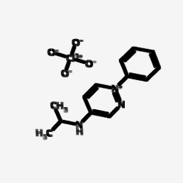 CC(C)Nc1cc[n+](-c2ccccc2)nc1.[O-][Cl+3]([O-])([O-])[O-]